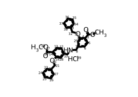 COC(=O)c1ccc(CNCc2ccc(C(=O)OC)c(OCc3ccccc3)c2)cc1OCc1ccccc1.Cl